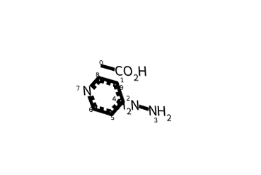 CC(=O)O.NN.c1ccncc1